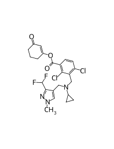 Cn1cc(CN(Cc2c(Cl)ccc(C(=O)OC3=CC(=O)CCC3)c2Cl)C2CC2)c(C(F)F)n1